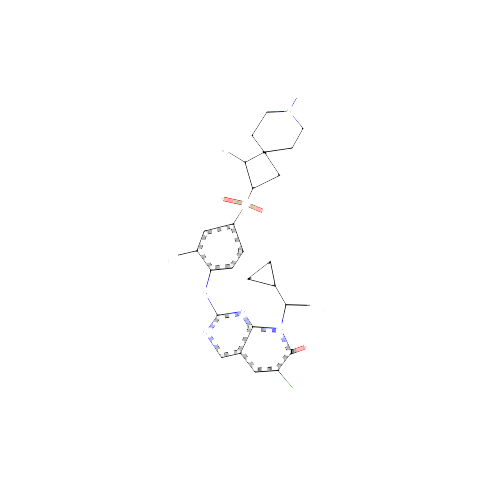 Cc1cc(S(=O)(=O)C2CC3(CCN(C(=O)O)CC3)C2C(C)(C)C)ccc1Nc1ncc2cc(Cl)c(=O)n(C(C)C3CC3)c2n1